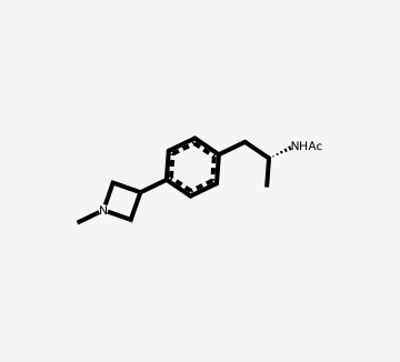 CC(=O)N[C@H](C)Cc1ccc(C2CN(C)C2)cc1